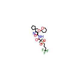 CC(C)(C(=O)Nc1cc(C2(COC3CCCCO3)CCCC2)no1)S(=O)(=O)CCCC(F)(F)F